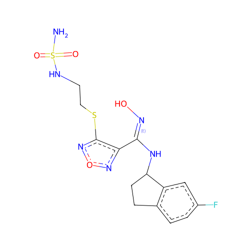 NS(=O)(=O)NCCSc1nonc1/C(=N\O)NC1CCc2ccc(F)cc21